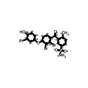 Cc1ccc(S(N)(=O)=O)cc1C(=O)c1ccc(Oc2ccc(O)c(C(C)C)c2)c(Br)c1Br